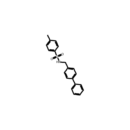 Cc1ccc(S(=O)(=O)NCc2ccc(-c3ccccc3)cc2)cc1